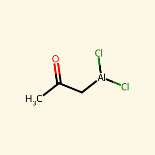 CC(=O)[CH2][Al]([Cl])[Cl]